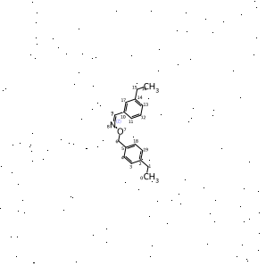 CCc1ccc(CO/N=[C]\c2cccc(CC)c2)cc1